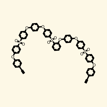 C#Cc1ccc(Oc2ccc(S(=O)(=O)c3ccc(Oc4ccc(Oc5ccc(S(=O)(=O)c6ccccc6Oc6ccc(Oc7ccc(S(=O)(=O)c8ccc(Oc9ccc(C#C)cc9)cc8)cc7)cc6)cc5)cc4)cc3)cc2)cc1